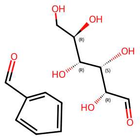 O=C[C@H](O)[C@@H](O)[C@H](O)[C@H](O)CO.O=Cc1ccccc1